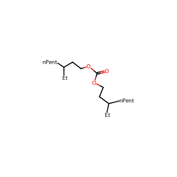 CCCCCC(CC)CCOC(=O)OCCC(CC)CCCCC